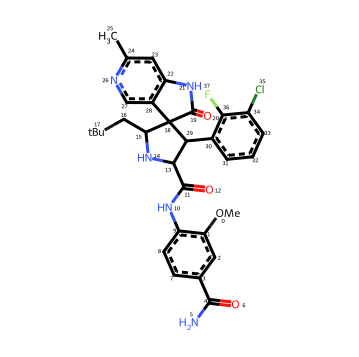 COc1cc(C(N)=O)ccc1NC(=O)C1NC(CC(C)(C)C)C2(C(=O)Nc3cc(C)ncc32)C1c1cccc(Cl)c1F